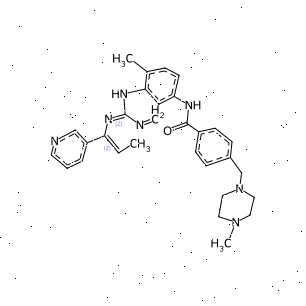 C=N/C(=N\C(=C/C)c1cccnc1)Nc1cc(NC(=O)c2ccc(CN3CCN(C)CC3)cc2)ccc1C